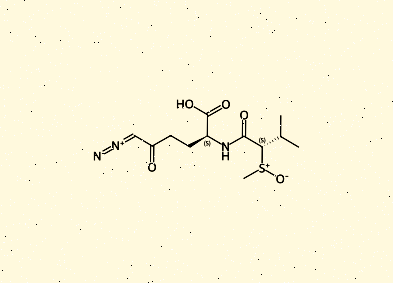 CC(C)[C@@H](C(=O)N[C@@H](CCC(=O)C=[N+]=[N-])C(=O)O)[S+](C)[O-]